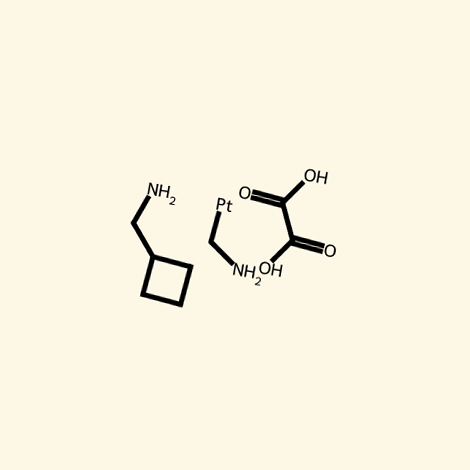 NCC1CCC1.N[CH2][Pt].O=C(O)C(=O)O